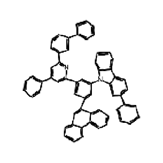 c1ccc(-c2cccc(-c3cc(-c4ccccc4)cc(-c4cc(-c5cc6ccccc6c6ccccc56)cc(-n5c6ccccc6c6ccc(-c7ccccc7)cc65)c4)n3)c2)cc1